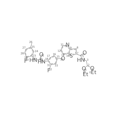 CCOC(CNC(=O)c1cc2nccc(Oc3ccc(NC(=O)Nc4cc(C)ccc4F)c(F)c3)c2s1)OCC